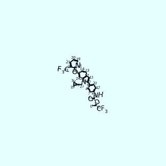 C[C@@H](OC(=O)Nc1ccc(-c2cc3ccc(Oc4ncccc4C(F)(F)F)cc3n2CC2CC2)cc1)C(F)(F)F